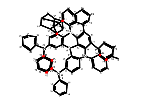 CC(C)c1cccc(N2c3ccc(N(c4ccccc4)c4ccccc4)cc3B3c4cc(N(c5ccccc5)c5ccccc5)cc5c4N(c4ccccc4C54C5CC6CC(C5)CC4C6)c4c(-c5ccccc5)cc(-c5ccccc5)c2c43)c1